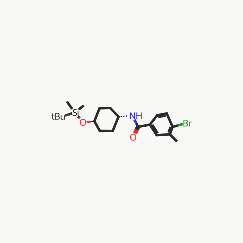 Cc1cc(C(=O)N[C@H]2CC[C@H](O[Si](C)(C)C(C)(C)C)CC2)ccc1Br